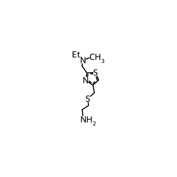 CCN(C)Cc1nc(CSCCN)cs1